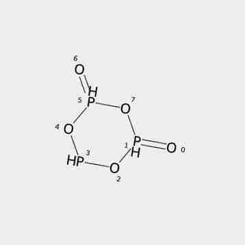 O=[PH]1OPO[PH](=O)O1